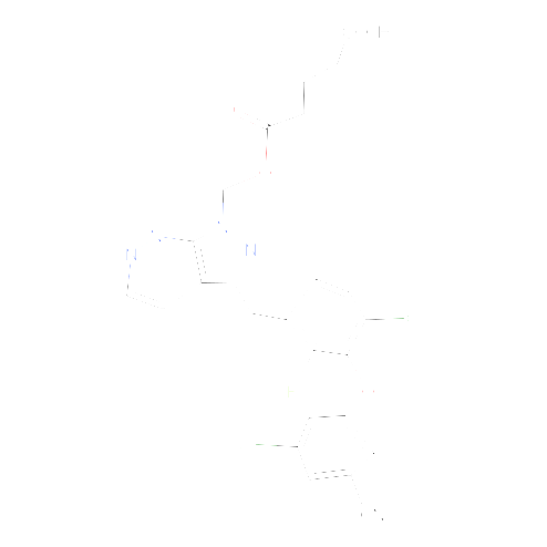 N#Cc1cc(Cl)cc(Oc2c(Cl)ccc(Cc3nn(COC(=O)CCCC(=O)O)c4nnccc34)c2F)c1